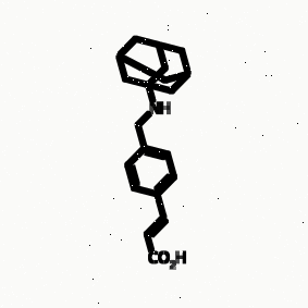 O=C(O)/C=C/c1ccc(CNC23CC4CC(CC(C4)C2)C3)cc1